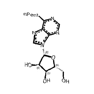 CCCCCc1ncnc2c1ncn2[C@@H]1O[C@H](CO)[C@@H](O)[C@H]1O